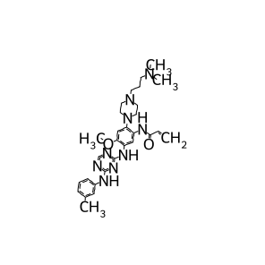 C=CC(=O)Nc1cc(Nc2ncnc(Nc3cccc(C)c3)n2)c(OC)cc1N1CCN(CCCN(C)C)CC1